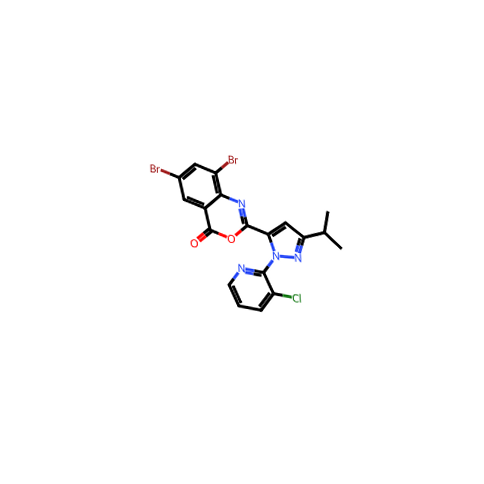 CC(C)c1cc(-c2nc3c(Br)cc(Br)cc3c(=O)o2)n(-c2ncccc2Cl)n1